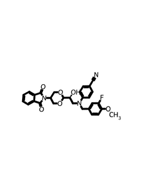 COc1ccc(CN(C[C@H](O)C2OCC(N3C(=O)c4ccccc4C3=O)CO2)c2ccc(C#N)cc2)cc1F